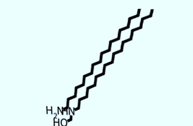 CCCCCCCCCCCCCCCCCCN.CCCCCCCCCCCCCCCCCCNCO